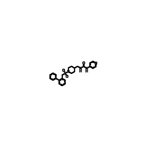 O=C(NCC1CCN(S(=O)(=O)Cc2ccccc2-c2ccccc2)CC1)Nc1ccncc1